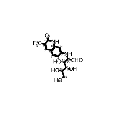 O=C[C@H](Nc1ccc2cc(C(F)(F)F)c(=O)[nH]c2c1)[C@@H](O)[C@H](O)[C@H](O)CO